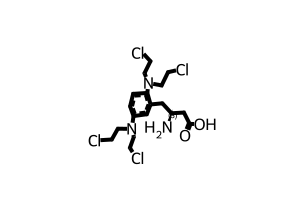 N[C@H](CC(=O)O)Cc1cc(N(CCCl)CCCl)ccc1N(CCCl)CCCl